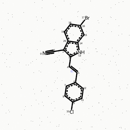 N#Cc1c(/C=C/c2ccc(Cl)cc2)[nH]c2cc(Br)ccc12